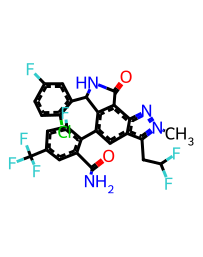 Cn1nc2c3c(c(-c4c(F)cc(C(F)(F)F)cc4C(N)=O)cc2c1CC(F)F)C(c1cc(F)ccc1Cl)NC3=O